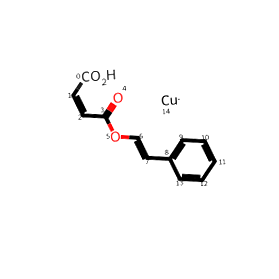 O=C(O)/C=C\C(=O)OC=Cc1ccccc1.[Cu]